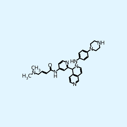 CN(C)C/C=C/C(=O)Nc1ccnc(C2c3ccncc3C=CN2Nc2ccc(N3CCNCC3)cc2)c1